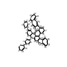 c1ccc(-c2ccc(N3c4ccc(-c5ccccc5)cc4B4c5c3cc3oc6ccccc6c3c5-c3cccc5c6cc7ccccc7cc6n4c35)cc2)cc1